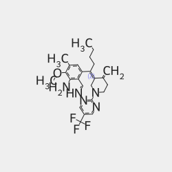 C=C1CCN(c2ncc(C(F)(F)F)cn2)C/C1=C(/CCCC)c1cc(C)c(OC)c(N)c1C=N